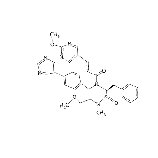 COCCN(C)C(=O)[C@H](Cc1ccccc1)N(Cc1ccc(-c2cncnc2)cc1)C(=O)C=Cc1cnc(OC)nc1